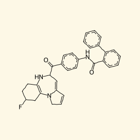 O=C(Nc1ccc(C(=O)C2C=C3C=CCN3C3=C(CCC(F)C3)N2)cc1)c1ccccc1-c1ccccc1